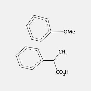 CC(C(=O)O)c1ccccc1.COc1ccccc1